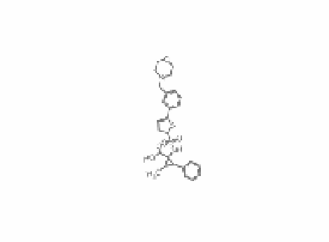 CC1C(c2ccccc2)C1(NS(=O)(=O)C1CC=C(c2cccc(CN3CCOCC3)c2)S1)C(=O)O